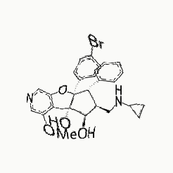 COc1cncc2c1[C@]1(O)[C@H](O)[C@H](CNC3CC3)[C@@H](c3ccccc3)[C@]1(c1ccc(Br)cc1)O2